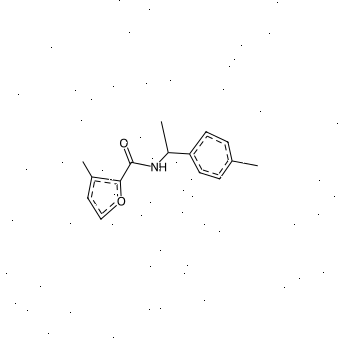 Cc1ccc(C(C)NC(=O)c2occc2C)cc1